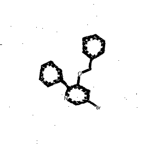 Brc1cnc(-c2ccccc2)c(OCc2ccccc2)c1